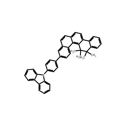 CC1(C)c2ccccc2-c2ccc3ccc4cc(-c5ccc(-n6c7ccccc7c7ccccc76)cc5)ccc4c3c2C1(C)C